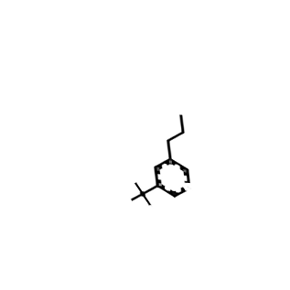 CCCc1cncc(C(F)(F)F)c1